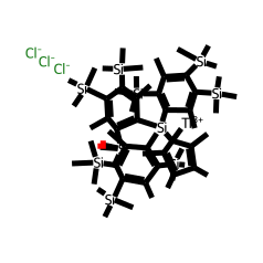 CC1=C(C)[C]([Ti+3])([Si](c2c(C)c([Si](C)(C)C)c([Si](C)(C)C)c(C)c2[Si](C)(C)C)(c2c(C)c([Si](C)(C)C)c([Si](C)(C)C)c(C)c2[Si](C)(C)C)c2c(C)c([Si](C)(C)C)c([Si](C)(C)C)c(C)c2[Si](C)(C)C)C(C)=C1C.[Cl-].[Cl-].[Cl-]